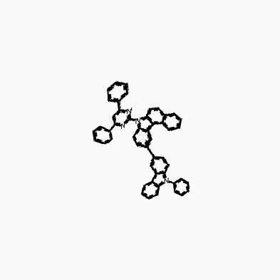 c1ccc(-c2cc(-c3ccccc3)nc(-n3c4ccc(-c5ccc6c(c5)c5ccccc5n6-c5ccccc5)cc4c4c5ccccc5ccc43)n2)cc1